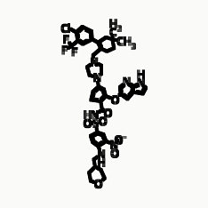 CC1(C)CCC(CN2CCN(c3ccc(C(=O)NS(=O)(=O)c4ccc(NCC5CCOCC5)c([N+](=O)[O-])c4)c(Oc4cnc5[nH]ccc5c4)c3)CC2)=C(c2ccc(Cl)c(C(F)(F)F)c2)C1